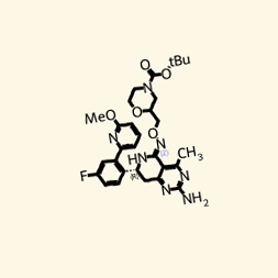 COc1cccc(-c2cc(F)ccc2[C@H]2Cc3nc(N)nc(C)c3/C(=N/OCC3CN(C(=O)OC(C)(C)C)CCO3)N2)n1